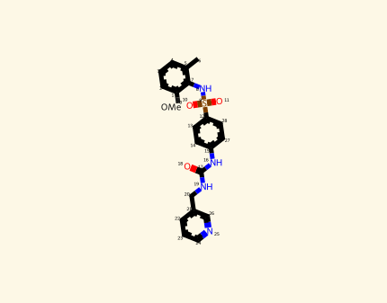 COc1cccc(C)c1NS(=O)(=O)c1ccc(NC(=O)NCc2cccnc2)cc1